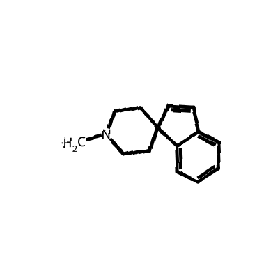 [CH2]N1CCC2(C=Cc3ccccc32)CC1